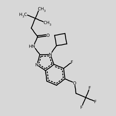 CC(C)(C)CC(=O)Nc1nc2ccc(OCC(F)(F)F)c(F)c2n1C1CCC1